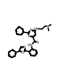 CN(C)CCNc1cc(C(=O)Nc2ccccc2-c2ncc(-c3ccccc3)o2)nc(-c2ccccc2)n1